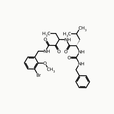 CCC(NC(=O)[C@H](CC(C)C)NC(=O)NCc1ccccc1)C(=O)C(=O)NCc1cccc(Br)c1OC